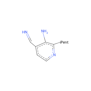 CCCC(C)c1nccc(C=N)c1N